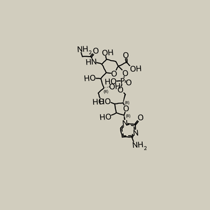 NCC(=O)NC1C(O)CC(OP(=O)(O)OC[C@H]2O[C@@H](n3ccc(N)nc3=O)C(O)C2O)(C(=O)O)OC1C(O)[C@H](O)CO